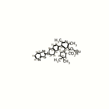 Cc1nc(C)c([C@H](OC(C)(C)C)C(=O)O)c(N2CCC(C)(C)CC2)c1-c1ccc2c(c1)CCN(c1nc3cccnc3s1)C2